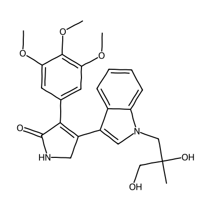 COc1cc(C2=C(c3cn(CC(C)(O)CO)c4ccccc34)CNC2=O)cc(OC)c1OC